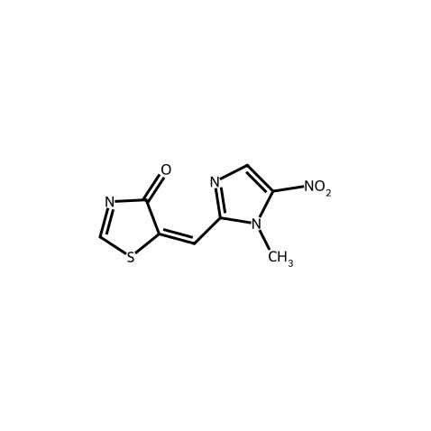 Cn1c([N+](=O)[O-])cnc1C=C1SC=NC1=O